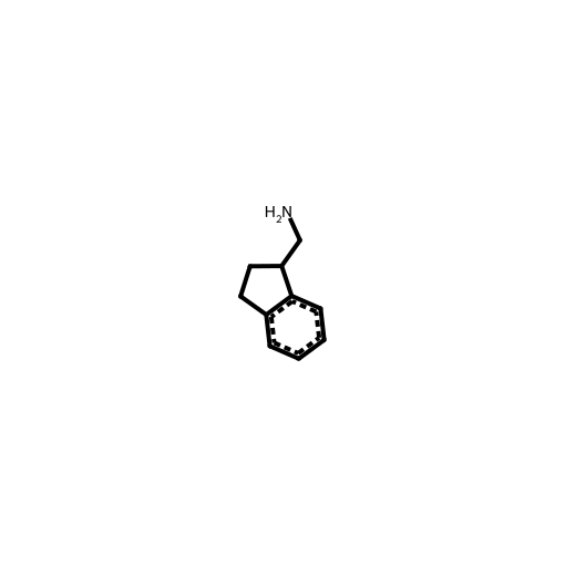 NCC1CCc2ccccc21